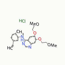 C#Cc1ccc(C)c(Nc2ncnc3cc(OCCOC)c(OCCOC)cc23)c1.Cl